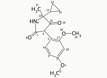 COc1ccc(C2C(=O)NC(C)(C3CC3)C2=O)c(OC)c1